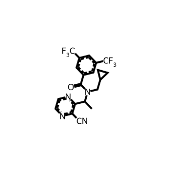 CC(c1nccnc1C#N)N(CC1CC1)C(=O)c1cc(C(F)(F)F)cc(C(F)(F)F)c1